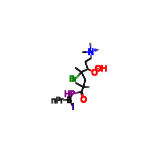 CCCB(I)PC(=O)C(C)(C)CC(C)(Br)C(CC[N+](C)(C)C)OO